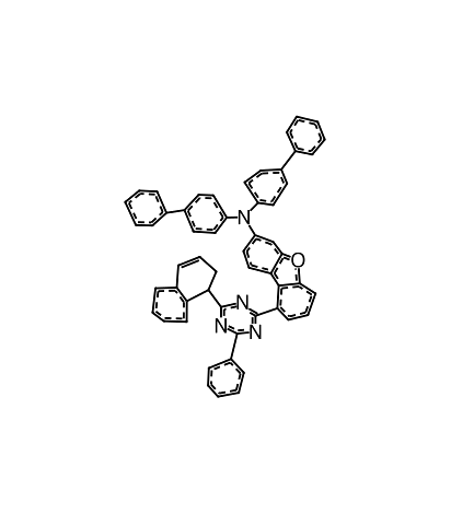 C1=Cc2ccccc2C(c2nc(-c3ccccc3)nc(-c3cccc4oc5cc(N(c6ccc(-c7ccccc7)cc6)c6ccc(-c7ccccc7)cc6)ccc5c34)n2)C1